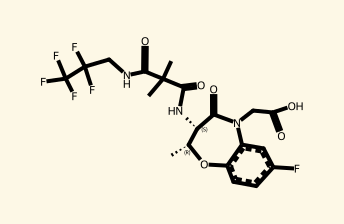 C[C@H]1Oc2ccc(F)cc2N(CC(=O)O)C(=O)[C@H]1NC(=O)C(C)(C)C(=O)NCC(F)(F)C(F)(F)F